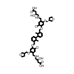 Cc1c(COc2cc(OCC3CCOC3)c(CNC[C@@H](O)CC(=O)O)cc2Cl)cccc1-c1cccc(COc2cc(OC[C@@H]3CCOC3)c(CNC[C@@H](O)CC(=O)O)cc2Cl)c1C